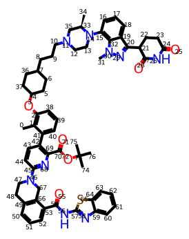 Cc1c(OC2CCC(CCCN3CCN(c4cccc5c(C6CCC(=O)NC6=O)nn(C)c45)[C@H](C)C3)CC2)cccc1-c1ccc(N2CCc3cccc(C(=O)Nc4nc5ccccc5s4)c3C2)nc1C(=O)OC(C)(C)C